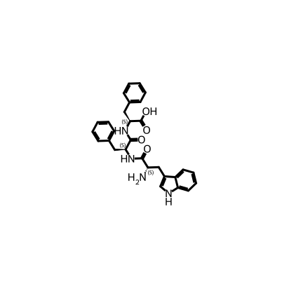 N[C@@H](Cc1c[nH]c2ccccc12)C(=O)N[C@@H](Cc1ccccc1)C(=O)N[C@@H](Cc1ccccc1)C(=O)O